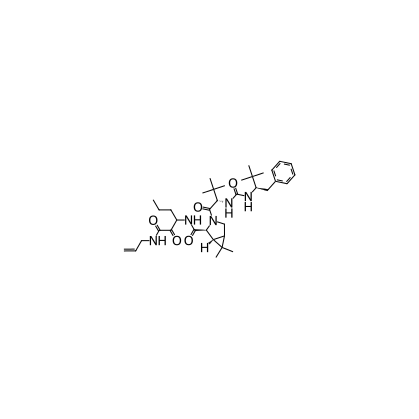 C=CCNC(=O)C(=O)C(CCC)NC(=O)[C@@H]1[C@@H]2C(CN1C(=O)[C@@H](NC(=O)N[C@H](Cc1ccccc1)C(C)(C)C)C(C)(C)C)C2(C)C